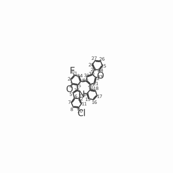 Fc1cc2oc3c4ccc(Cl)cc4n4c5ccccc5c5cc6oc7ccccc7c6cc5c(c1)c2c34